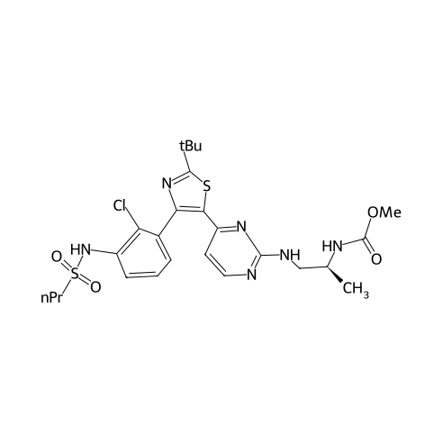 CCCS(=O)(=O)Nc1cccc(-c2nc(C(C)(C)C)sc2-c2ccnc(NC[C@H](C)NC(=O)OC)n2)c1Cl